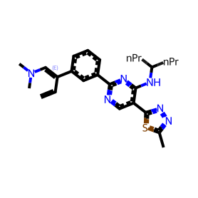 C=C/C(=C\N(C)C)c1cccc(-c2ncc(-c3nnc(C)s3)c(NC(CCC)CCC)n2)c1